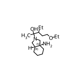 CCOCCC(CC)C(C)(O)N1C[C@H]2CCCC[C@@]2(N)C1